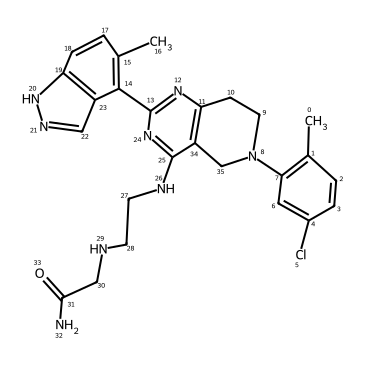 Cc1ccc(Cl)cc1N1CCc2nc(-c3c(C)ccc4[nH]ncc34)nc(NCCNCC(N)=O)c2C1